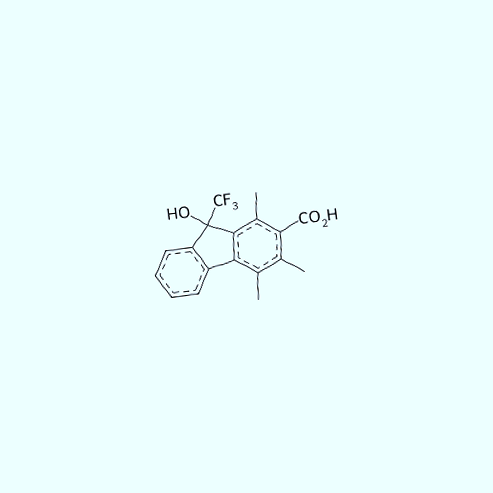 Cc1c(C)c2c(c(C)c1C(=O)O)C(O)(C(F)(F)F)c1ccccc1-2